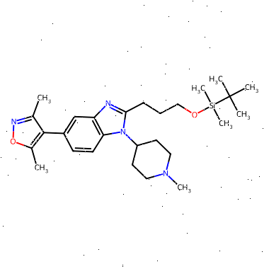 Cc1noc(C)c1-c1ccc2c(c1)nc([CH]CCO[Si](C)(C)C(C)(C)C)n2C1CCN(C)CC1